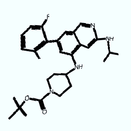 Cc1cccc(F)c1-c1cc(NC2CCN(C(=O)OC(C)(C)C)CC2)c2cc(NC(C)C)ncc2c1